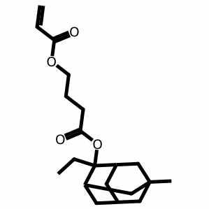 C=CC(=O)OCCCC(=O)OC1(CC)C2CC3CC1CC(C)(C3)C2